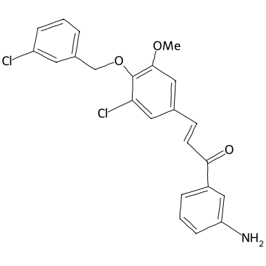 COc1cc(/C=C/C(=O)c2cccc(N)c2)cc(Cl)c1OCc1cccc(Cl)c1